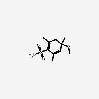 COC1(C)C=C(C)C(S(N)(=O)=O)=C(C)C1